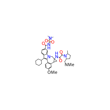 CNCC1CCC(C)N1C(=O)C(=O)NC12CC1c1cc(OC)ccc1-c1c(C3CCCCC3)c3ccc(C(=O)NS(=O)(=O)N(C)C)cc3n1C2